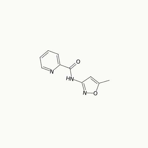 Cc1cc(NC(=O)c2ccccn2)no1